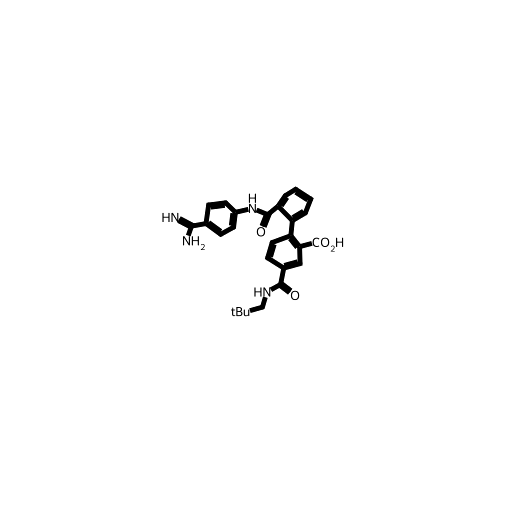 CC(C)(C)CNC(=O)c1ccc(-c2ccccc2C(=O)Nc2ccc(C(=N)N)cc2)c(C(=O)O)c1